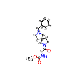 CC(C)(C)OC(=O)NCC(=O)N1CCC2(CCN(Cc3ccccc3)C2)C1